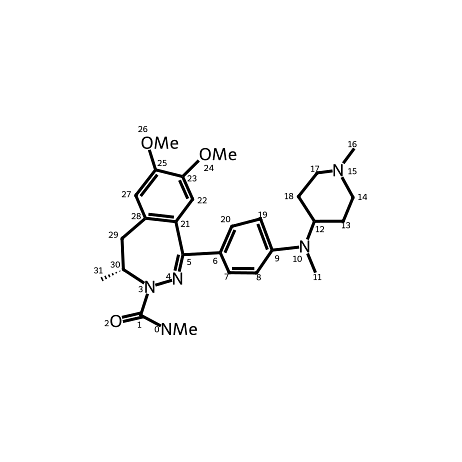 CNC(=O)N1N=C(c2ccc(N(C)C3CCN(C)CC3)cc2)c2cc(OC)c(OC)cc2C[C@H]1C